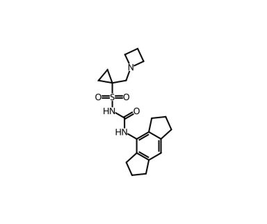 O=C(Nc1c2c(cc3c1CCC3)CCC2)NS(=O)(=O)C1(CN2CCC2)CC1